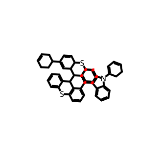 C1=CCCC(n2c3c(c4ccccc42)C(c2cccc4c2C(C2C5C=CC=CC5SC5C=CC(C6CC=CCC6)=CC52)c2ccccc2S4)=CCC3)=C1